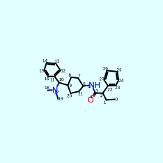 CCC(C(=O)NC1CCC(C(c2ccccc2)N(C)C)CC1)c1ccccc1